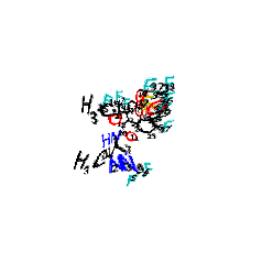 Cc1nn(C(F)F)cc1NC(=O)[C@@H]1O[C@@](C)(C(F)(F)F)[C@@H](C)[C@H]1c1ccc(F)c(F)c1OS(=O)(=O)C(F)(F)F